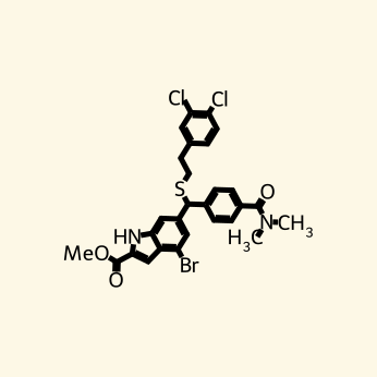 COC(=O)c1cc2c(Br)cc(C(SCCc3ccc(Cl)c(Cl)c3)c3ccc(C(=O)N(C)C)cc3)cc2[nH]1